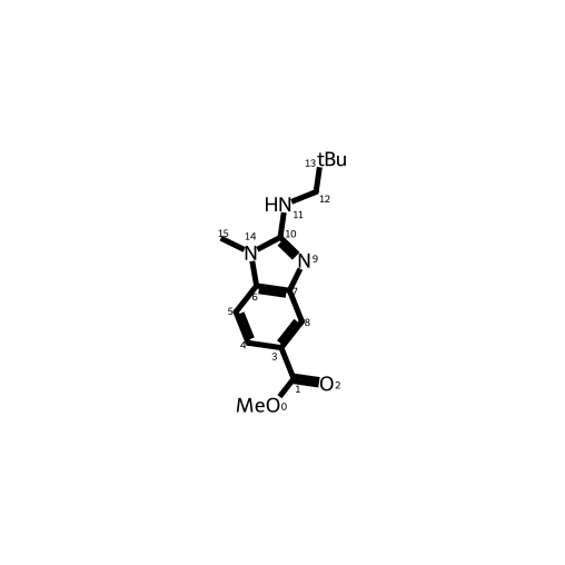 COC(=O)c1ccc2c(c1)nc(NCC(C)(C)C)n2C